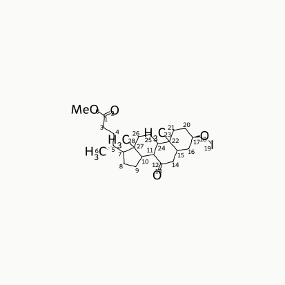 COC(=O)CC[C@@H](C)C1CCC2C3C(=O)CC4C[C@H](OI)CCC4(C)C3CCC21C